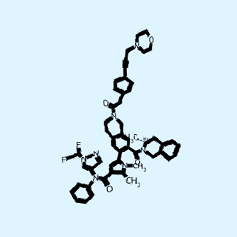 Cc1c(C(=O)N(c2ccccc2)c2cnn(C(F)F)c2)cc(-c2cc3c(cc2C(=O)N2Cc4ccccc4C[C@H]2C)CN(C(=O)Cc2ccc(C#CCN4CCOCC4)cc2)CC3)n1C